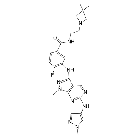 Cn1cc(Nc2ncc3c(Nc4cc(C(=O)NCCN5CC(C)(C)C5)ccc4F)nn(C)c3n2)cn1